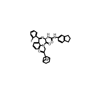 O=C(Nc1ccc2c(c1)CCC2)N[C@@H]1N=C(c2ccccc2F)c2ccccc2N(CC(=O)N2CC3CCC(CC3)C2)C1=O